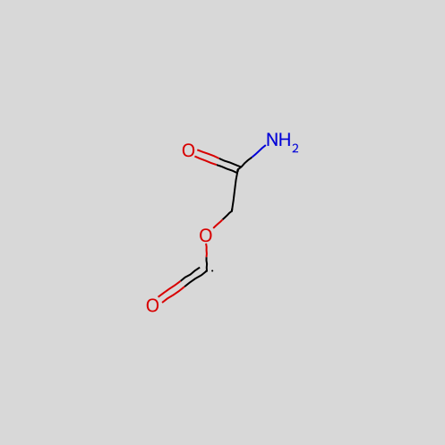 NC(=O)CO[C]=O